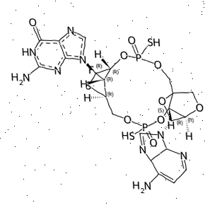 NC1=CC=NC2C1N=CN2[C@@H]1OC23CO[C@@H]1[C@@H]2OP(=O)(S)OC[C@H]1S[C@@H](n2cnc4c(=O)[nH]c(N)nc42)[C@H](OP(=O)(S)OC3)[C@H]1F